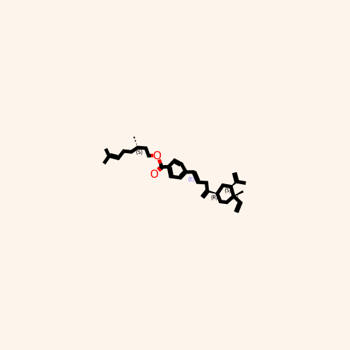 C=C[C@]1(C)CC[C@@H](C(=C)C/C=C/c2ccc(C(=O)OCC[C@@H](C)CCC=C(C)C)cc2)C[C@H]1C(=C)C